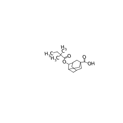 CCC(C)(C)C(=O)OC1C2CC3CC1CC(C(=O)O)(C3)C2